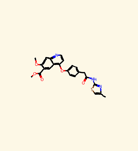 COC(=O)c1cc2c(Oc3ccc(CC(=O)Nc4nc(C)cs4)cc3)ccnc2cc1OC